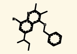 CCC(C)c1cc(Br)c2nc(C)c(C)c(OCc3ccccc3)c2c1